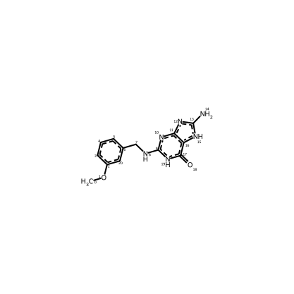 COc1cccc(CNc2nc3nc(N)[nH]c3c(=O)[nH]2)c1